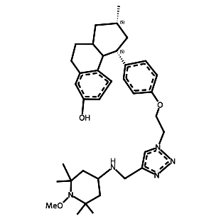 CON1C(C)(C)CC(NCc2cn(CCOc3ccc([C@H]4C[C@@H](C)CC5CCc6cc(O)ccc6C54)cc3)nn2)CC1(C)C